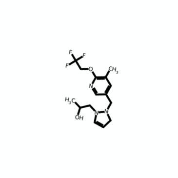 Cc1cc(CN2CC=CN2CC(C)O)cnc1OCC(F)(F)F